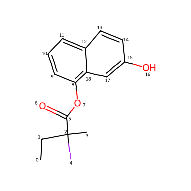 CCC(C)(I)C(=O)Oc1cccc2ccc(O)cc12